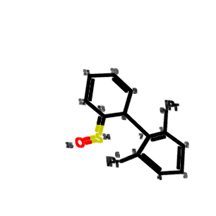 CC(C)c1cccc(C(C)C)c1C1C=CC=CC1=S=O